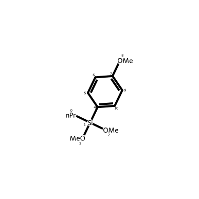 CCC[Si](OC)(OC)c1ccc(OC)cc1